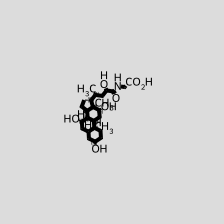 C[C@H](CC(O)C(=O)NCC(=O)O)[C@H]1CC[C@H]2[C@@H]3[C@@H](O)CC4C[C@H](O)CC[C@]4(C)[C@H]3C[C@H](O)[C@]12C